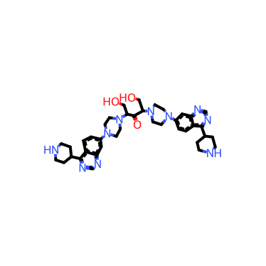 O=C(C(CO)N1CCN(c2ccc3c(C4CCNCC4)ncnc3c2)CC1)C(CO)N1CCN(c2ccc3c(C4CCNCC4)ncnc3c2)CC1